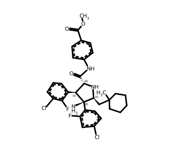 COC(=O)c1ccc(NC(=O)[C@@H]2N[C@@H](CC3(C)CCCCC3)[C@](N)(c3ccc(Cl)cc3F)[C@H]2c2cccc(Cl)c2F)cc1